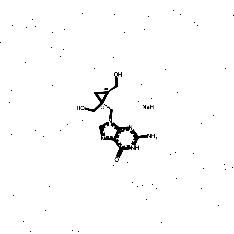 Nc1nc2c(ncn2C[C@]2(CO)C[C@H]2CO)c(=O)[nH]1.[NaH]